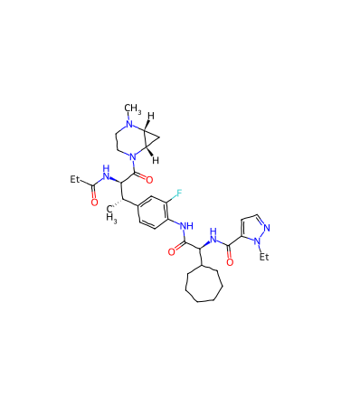 CCC(=O)N[C@@H](C(=O)N1CCN(C)[C@@H]2C[C@@H]21)[C@@H](C)c1ccc(NC(=O)[C@@H](NC(=O)c2ccnn2CC)C2CCCCCC2)c(F)c1